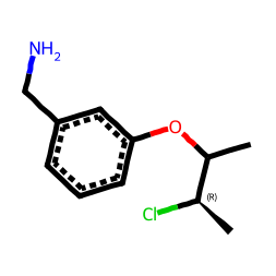 CC(Oc1cccc(CN)c1)[C@@H](C)Cl